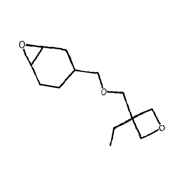 CCC1(COCC2CCC3OC3C2)COC1